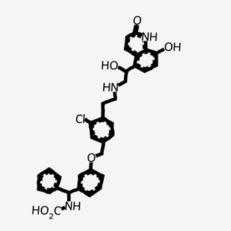 O=C(O)NC(c1ccccc1)c1cccc(OCc2ccc(CCNCC(O)c3ccc(O)c4[nH]c(=O)ccc34)c(Cl)c2)c1